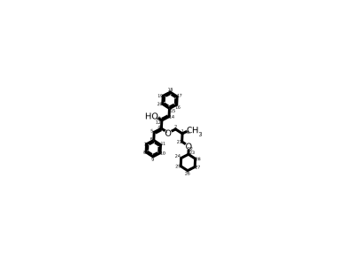 CC(COC(=Cc1ccccc1)C(O)=Cc1ccccc1)COC1CCCCC1